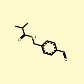 CC(C)C(=O)NCc1ccc(C=O)cc1